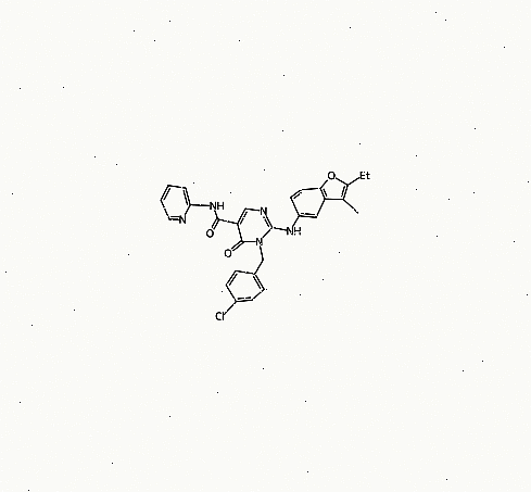 CCc1oc2ccc(Nc3ncc(C(=O)Nc4ccccn4)c(=O)n3Cc3ccc(Cl)cc3)cc2c1C